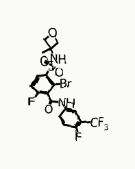 CC1(NS(=O)(=O)c2ccc(F)c(C(=O)Nc3ccc(F)c(C(F)(F)F)c3)c2Br)COC1